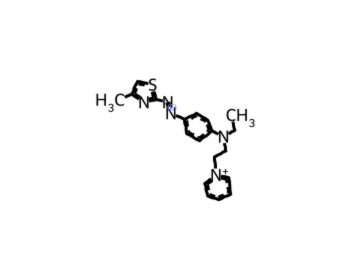 CCN(CC[n+]1ccccc1)c1ccc(/N=N/c2nc(C)cs2)cc1